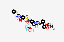 COc1cccc(-c2ccccc2CN2CCN3c4ccc(C(=O)NS(=O)(=O)c5ccc(NCCSc6ccccc6)c([N+](=O)[O-])c5)cc4CC[C@H]3C2)c1OC.O=C(O)C(F)(F)F